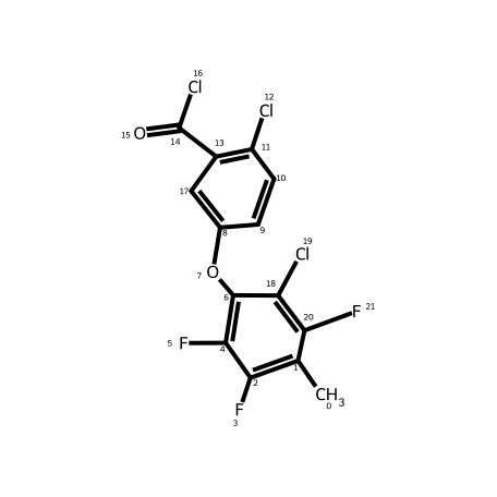 Cc1c(F)c(F)c(Oc2ccc(Cl)c(C(=O)Cl)c2)c(Cl)c1F